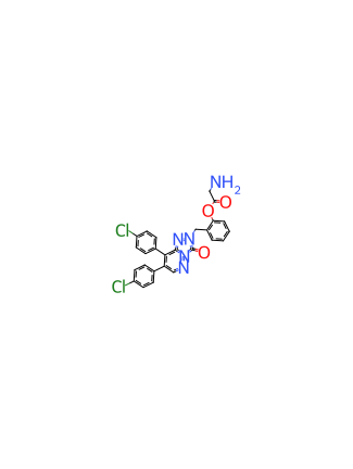 NCC(=O)Oc1ccccc1Cn1nc2c(-c3ccc(Cl)cc3)c(-c3ccc(Cl)cc3)cnn2c1=O